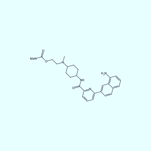 CNC(=O)OCCN(C)C1CCC(NC(=O)c2cccc(-c3ccc4cccc(N)c4c3)n2)CC1